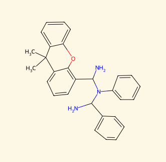 CC1(C)c2ccccc2Oc2c(C(N)N(c3ccccc3)C(N)c3ccccc3)cccc21